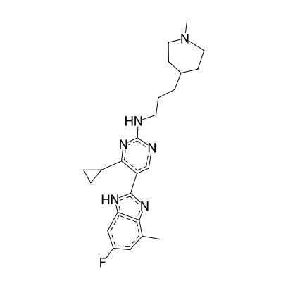 Cc1cc(F)cc2[nH]c(-c3cnc(NCCCC4CCN(C)CC4)nc3C3CC3)nc12